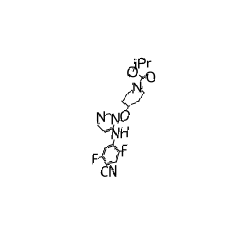 CC(C)OC(=O)N1CCC(ON2CN=CC=C2Nc2cc(F)c(C#N)cc2F)CC1